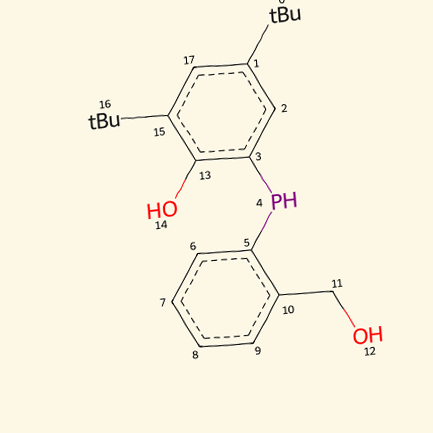 CC(C)(C)c1cc(Pc2ccccc2CO)c(O)c(C(C)(C)C)c1